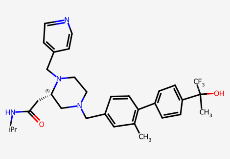 Cc1cc(CN2CCN(Cc3ccncc3)[C@@H](CC(=O)NC(C)C)C2)ccc1-c1ccc(C(C)(O)C(F)(F)F)cc1